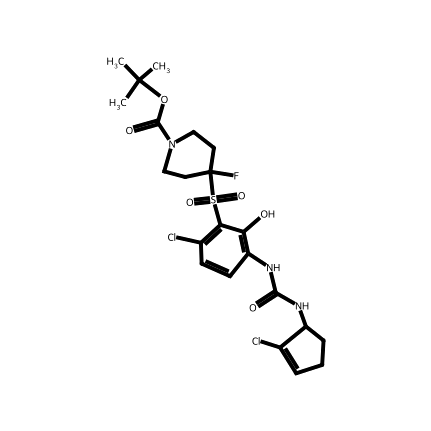 CC(C)(C)OC(=O)N1CCC(F)(S(=O)(=O)c2c(Cl)ccc(NC(=O)NC3CCC=C3Cl)c2O)CC1